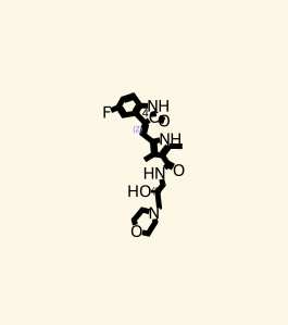 Cc1[nH]c(/C=C2/c3cc(F)ccc3N[14C]2=O)c(C)c1C(=O)NC[C@H](O)CN1CCOCC1